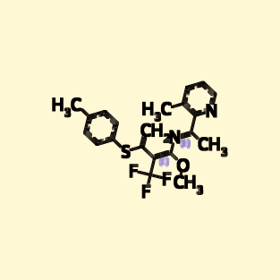 C=C(Sc1ccc(C)cc1)/C(=C(\N=C(/C)c1ncccc1C)OC)C(F)(F)F